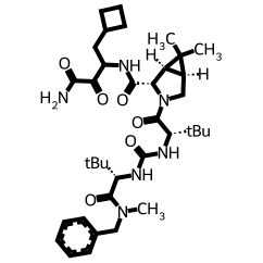 CN(Cc1ccccc1)C(=O)[C@@H](NC(=O)N[C@H](C(=O)N1C[C@H]2[C@@H]([C@H]1C(=O)NC(CC1CCC1)C(=O)C(N)=O)C2(C)C)C(C)(C)C)C(C)(C)C